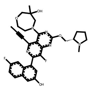 CC#Cc1nc(-c2cc(O)cc3ccc(F)cc23)c(F)c2nc(OC[C@@H]3CCCN3C)nc(N3CCOCC(C)(O)C3)c12